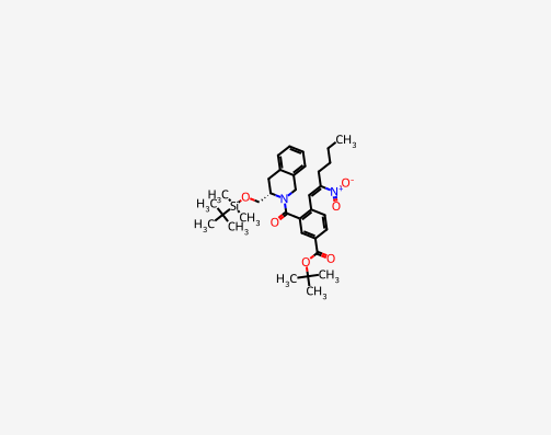 CCCCC(=Cc1ccc(C(=O)OC(C)(C)C)cc1C(=O)N1Cc2ccccc2C[C@H]1CO[Si](C)(C)C(C)(C)C)[N+](=O)[O-]